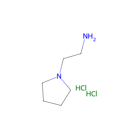 Cl.Cl.NCCN1CCCC1